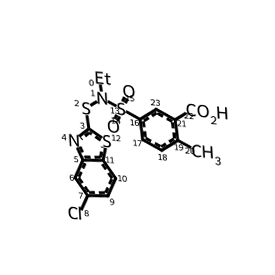 CCN(Sc1nc2cc(Cl)ccc2s1)S(=O)(=O)c1ccc(C)c(C(=O)O)c1